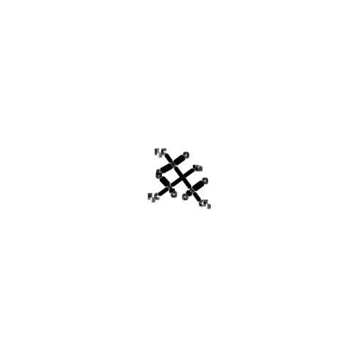 O=S(=O)(C(F)(F)F)[C]([Na])(S(=O)(=O)C(F)(F)F)S(=O)(=O)C(F)(F)F